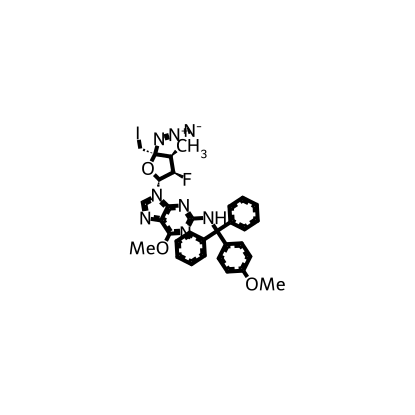 COc1ccc(C(Nc2nc(OC)c3ncn([C@@H]4O[C@@](CI)(N=[N+]=[N-])[C@@H](C)[C@H]4F)c3n2)(c2ccccc2)c2ccccc2)cc1